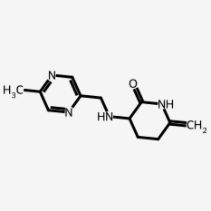 C=C1CCC(NCc2cnc(C)cn2)C(=O)N1